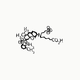 Cc1cccc(S(=O)(=O)OC2=Cc3[o+]c4cc(N(CCCCCC(=O)O)CCCS(=O)(=O)[O-])ccc4cc3C(C)(C)C2)c1N